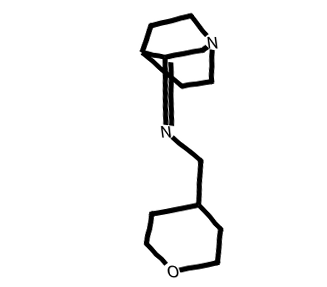 C1CC(C/N=C2\CN3CCC2CC3)CCO1